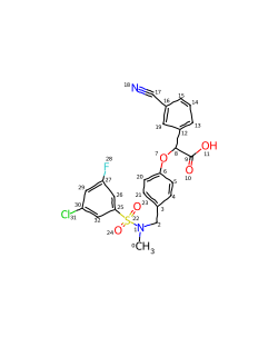 CN(Cc1ccc(OC(C(=O)O)c2cccc(C#N)c2)cc1)S(=O)(=O)c1cc(F)cc(Cl)c1